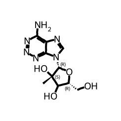 C[C@]1(O)C(O)[C@@H](CO)O[C@H]1n1cnc2c(N)nnnc21